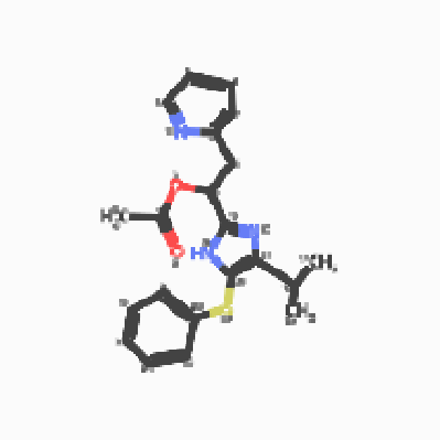 CC(=O)OC(Cc1ccccn1)c1nc(C(C)C)c(Sc2ccccc2)[nH]1